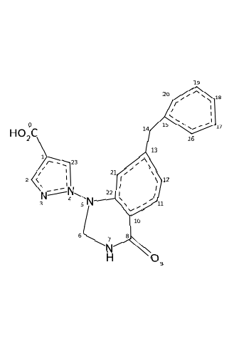 O=C(O)c1cnn(N2CNC(=O)c3ccc(Cc4ccccc4)cc32)c1